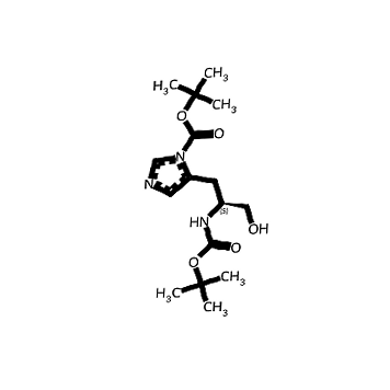 CC(C)(C)OC(=O)N[C@H](CO)Cc1cncn1C(=O)OC(C)(C)C